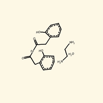 NCCN.O.O=[C](Cc1ccccc1O)[Fe][C](=O)Cc1ccccc1O